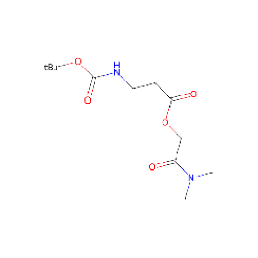 CN(C)C(=O)COC(=O)CCNC(=O)OC(C)(C)C